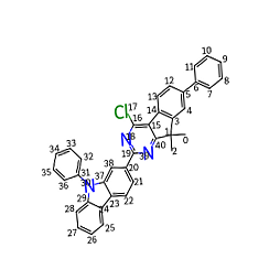 CC1(C)c2cc(-c3ccccc3)ccc2-c2c(Cl)nc(-c3ccc4c5ccccc5n(-c5ccccc5)c4c3)nc21